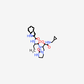 CCC(NC(=O)c1cc2ccccc2[nH]1)C(=O)NC(CN1CCCNC1=O)C(=O)C(=O)NCC1CC1